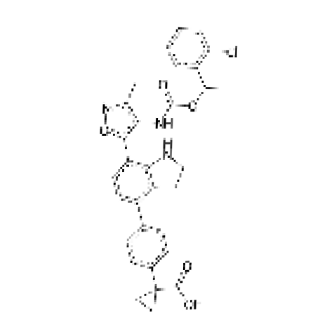 Cc1noc(-c2ccc(-c3ccc(C4(C(=O)O)CC4)cc3)c3c2NCC3)c1NC(=O)OC(C)c1ccccc1Cl